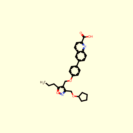 CCCc1onc(COC2CCCC2)c1COc1ccc(-c2ccc3nc(C(=O)O)ccc3c2)cc1